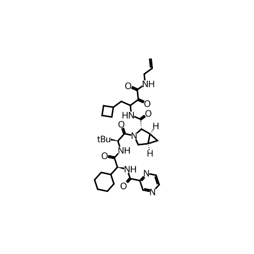 C=CCNC(=O)C(=O)C(CC1CCC1)NC(=O)[C@@H]1[C@H]2C[C@H]2CN1C(=O)[C@@H](NC(=O)[C@@H](NC(=O)c1cnccn1)C1CCCCC1)C(C)(C)C